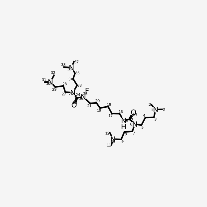 CN(C)CCCN(CCCN(C)C)C(=O)NCCCCCCN(F)C(=O)N(CCCN(C)C)CCCN(C)C